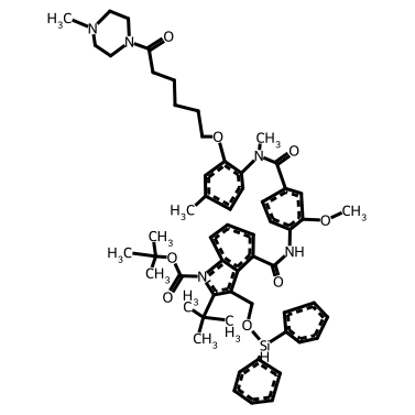 COc1cc(C(=O)N(C)c2ccc(C)cc2OCCCCCC(=O)N2CCN(C)CC2)ccc1NC(=O)c1cccc2c1c(CO[SiH](c1ccccc1)c1ccccc1)c(C(C)(C)C)n2C(=O)OC(C)(C)C